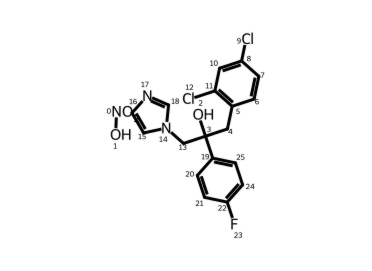 O=[N+]([O-])O.OC(Cc1ccc(Cl)cc1Cl)(Cn1ccnc1)c1ccc(F)cc1